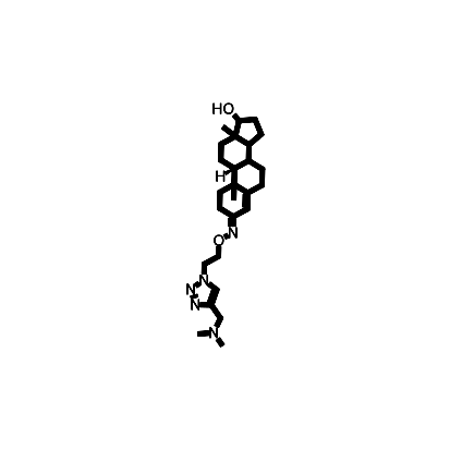 CN(C)Cc1cn(CCON=C2C=C3CCC4C5CCC(O)C5(C)CC[C@H]4C3(C)CC2)nn1